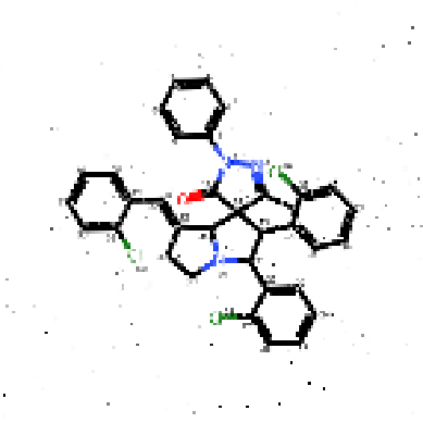 CC1=NN(c2ccccc2)C(=O)C12C(c1ccccc1Cl)C(c1ccccc1Cl)N1CC/C(=C\c3ccccc3Cl)C12